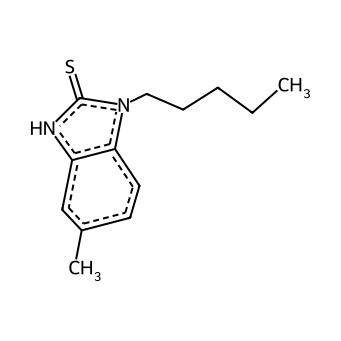 CCCCCn1c(=S)[nH]c2cc(C)ccc21